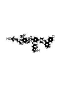 CC1(C)CCC(CN2CCN(c3ccc(C(=O)NS(=O)(=O)c4cc5c(c([N+](=O)[O-])c4)N[C@H](CCN4CC(O)C4)CO5)c(Oc4cnc5[nH]ccc5c4)c3)CC2)=C(c2ccc(Cl)cc2)C1